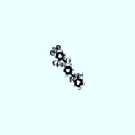 CS(=O)(=O)c1ccc(C(=O)Nc2ccc(-c3nc4ccccc4[nH]3)cc2)c(Cl)c1